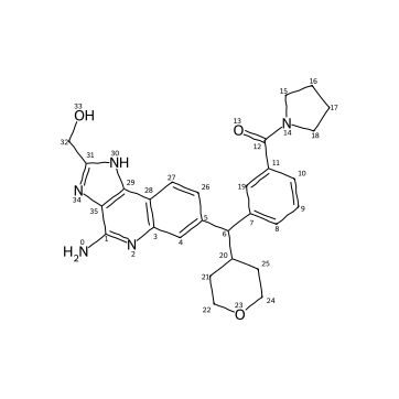 Nc1nc2cc(C(c3cccc(C(=O)N4CCCC4)c3)C3CCOCC3)ccc2c2[nH]c(CO)nc12